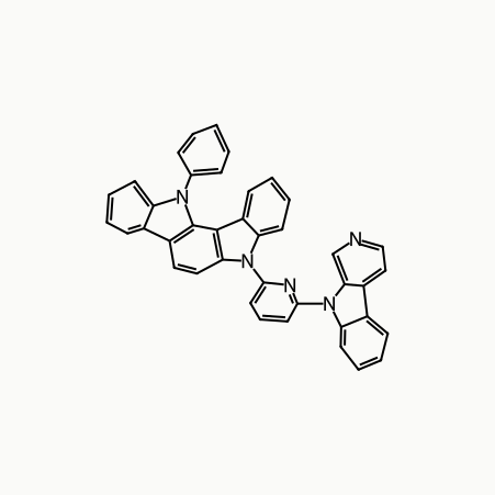 c1ccc(-n2c3ccccc3c3ccc4c(c5ccccc5n4-c4cccc(-n5c6ccccc6c6ccncc65)n4)c32)cc1